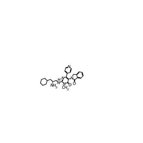 Cn1c(NC[C@@H](N)CC2CCCCC2)nc(-c2ccncc2)c(N2Cc3ccccc3C2=O)c1=O